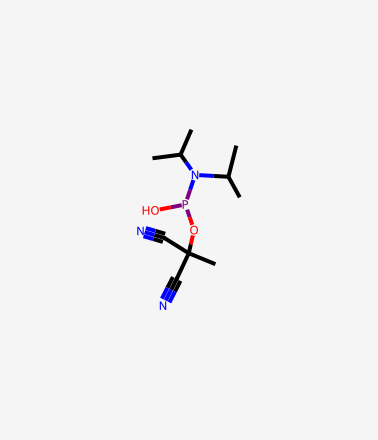 CC(C)N(C(C)C)P(O)OC(C)(C#N)C#N